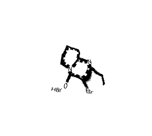 Br.CCc1nc2ccccn2c(=O)c1Br